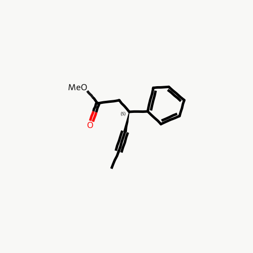 CC#C[C@@H](CC(=O)OC)c1ccccc1